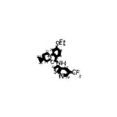 CCSc1ccc(C(=O)Nc2csc3ncc(C(F)(F)F)cc23)c(N2CCC3(CC2)CC3)c1